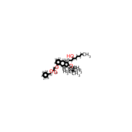 CCCCC[C@H](O)CC[C@@H]1[C@H]2Cc3cccc(OCC(=O)OCc4ccccc4)c3C[C@H]2C[C@H]1O[Si](C)(C)C(C)(C)C